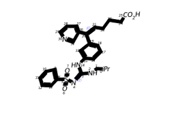 CC(C)CN/C(=N/S(=O)(=O)c1ccccc1)Nc1cccc(/C(=C\CCCC(=O)O)c2cccnc2)c1